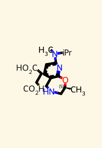 CC(C)N(C)c1ccc2c(n1)O[C@@H](C)CNC2.O=C(O)CCC(=O)O